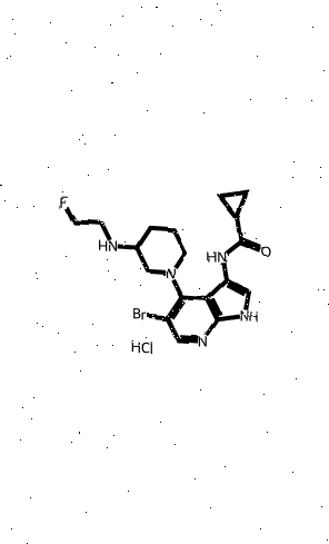 Cl.O=C(Nc1c[nH]c2ncc(Br)c(N3CCCC(NCCF)C3)c12)C1CC1